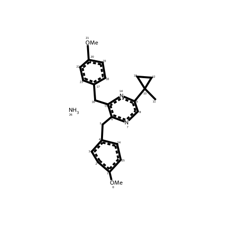 COc1ccc(Cc2ncc(C3(C)CC3)nc2Cc2ccc(OC)cc2)cc1.N